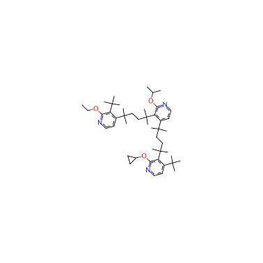 CCOc1nccc(C(C)(C)CCC(C)(C)c2c(C(C)(C)CCC(C)(C)c3c(C(C)(C)C)ccnc3OC3CC3)ccnc2OC(C)C)c1C(C)(C)C